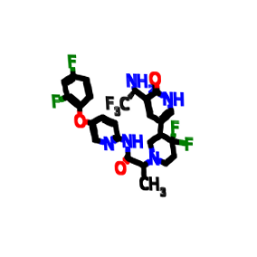 CC(C(=O)Nc1ccc(Oc2ccc(F)cc2F)cn1)N1CCC(F)(F)C(c2c[nH]c(=O)c([C@H](N)C(F)(F)F)c2)C1